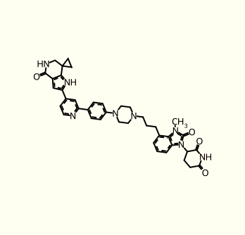 Cn1c(=O)n(C2CCC(=O)NC2=O)c2cccc(CCCN3CCN(c4ccc(-c5cc(-c6cc7c([nH]6)C6(CC6)CNC7=O)ccn5)cc4)CC3)c21